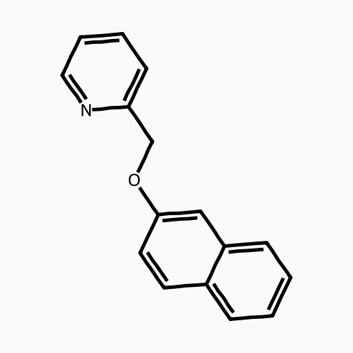 c1ccc(COc2ccc3ccccc3c2)nc1